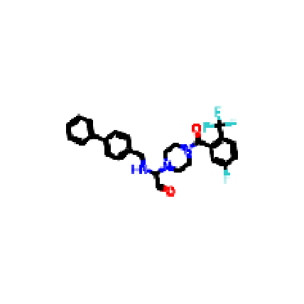 O=CC(NCc1ccc(-c2ccccc2)cc1)N1CCN(C(=O)c2cc(F)ccc2C(F)(F)F)CC1